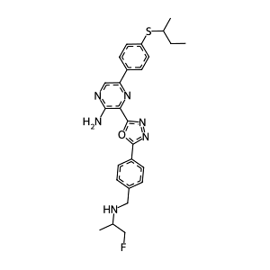 CCC(C)Sc1ccc(-c2cnc(N)c(-c3nnc(-c4ccc(CNC(C)CF)cc4)o3)n2)cc1